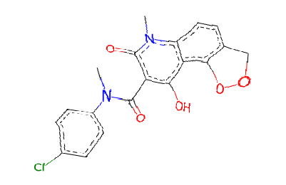 CN(C(=O)c1c(O)c2c3c(ccc2n(C)c1=O)COO3)c1ccc(Cl)cc1